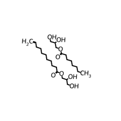 C=CCCCCCCCCC(=O)OCC(O)CO.CCCCCCCC(=O)OCC(O)CO